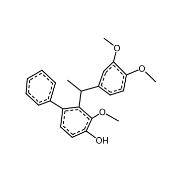 COc1ccc(C(C)c2c(-c3ccccc3)ccc(O)c2OC)cc1OC